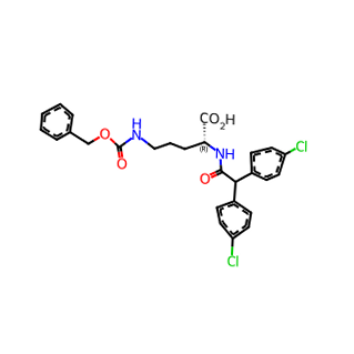 O=C(NCCC[C@@H](NC(=O)C(c1ccc(Cl)cc1)c1ccc(Cl)cc1)C(=O)O)OCc1ccccc1